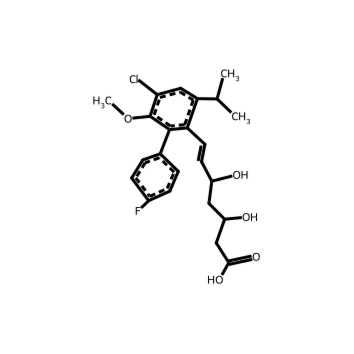 COc1c(Cl)cc(C(C)C)c(C=CC(O)CC(O)CC(=O)O)c1-c1ccc(F)cc1